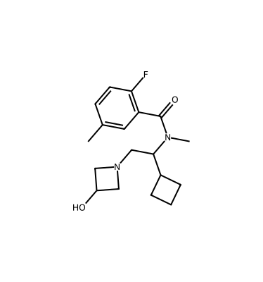 Cc1ccc(F)c(C(=O)N(C)C(CN2CC(O)C2)C2CCC2)c1